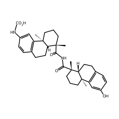 C[C@]1(C(=O)NC(=O)[C@@]2(C)CCC[C@]3(C)c4cc(NC(=O)O)ccc4CC[C@@H]23)CCC[C@]2(C)c3cc(O)ccc3CC[C@@H]12